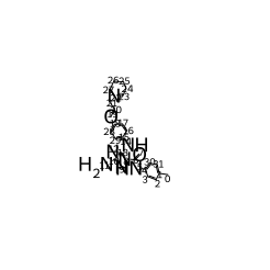 Cc1ccc(NC(=O)n2nc(N)nc2Nc2ccc(OCCN3CCCCC3)cc2)cc1